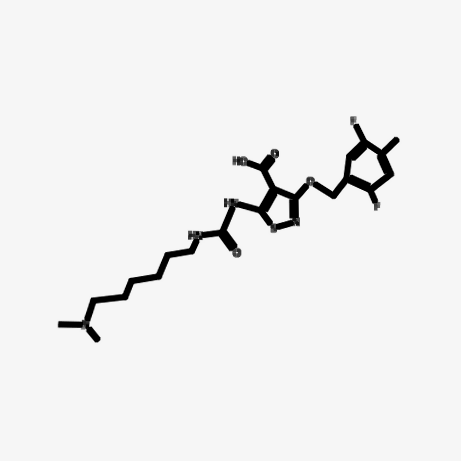 Cc1cc(F)c(COc2nsc(NC(=O)NCCCCCCN(C)C)c2C(=O)O)cc1F